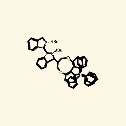 CC(C)(C)[P@@]1Cc2ccccc2[C@@H]1[C@H]1c2ccccc2C(C2COc3cccc(P(c4ccccc4)c4ccccc4)c3-c3c(cccc3P(c3ccccc3)c3ccccc3)OC2)[P@]1C(C)(C)C